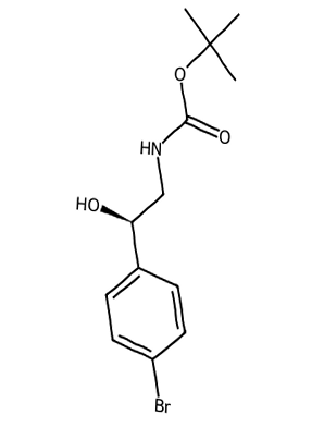 CC(C)(C)OC(=O)NC[C@H](O)c1ccc(Br)cc1